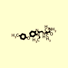 CCn1c(CNC(C)(C)C(N)=O)nc2ccc(Oc3ccc(C)cc3)cc21